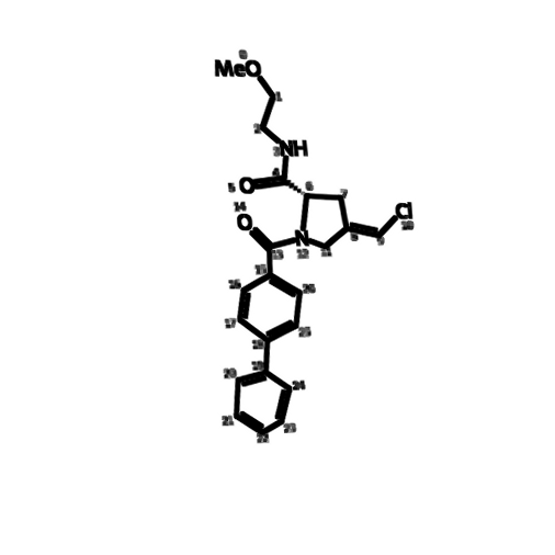 COCCNC(=O)[C@@H]1CC(=CCl)CN1C(=O)c1ccc(-c2ccccc2)cc1